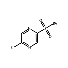 CC(C)S(=O)(=O)c1cnc(Br)cn1